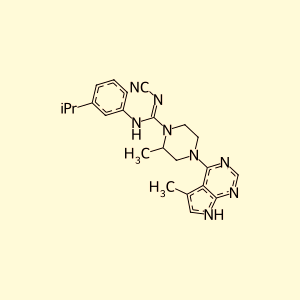 Cc1c[nH]c2ncnc(N3CCN(C(=NC#N)Nc4cccc(C(C)C)c4)C(C)C3)c12